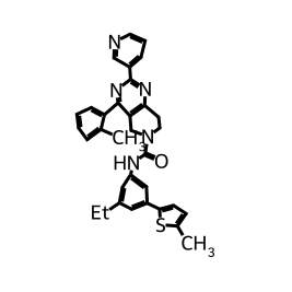 CCc1cc(NC(=O)N2CCc3nc(-c4cccnc4)nc(-c4ccccc4C)c3C2)cc(-c2ccc(C)s2)c1